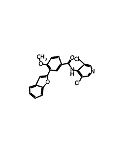 COc1ccc(C(=O)Nc2c(Cl)cncc2Cl)cc1-c1cc2ccccc2o1